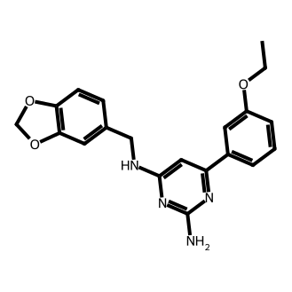 CCOc1cccc(-c2cc(NCc3ccc4c(c3)OCO4)nc(N)n2)c1